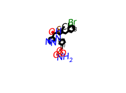 Cc1sc(C(=O)c2cncnc2N[C@H]2CC[C@@H](COS(N)(=O)=O)C2)cc1Cc1cccc(Br)c1